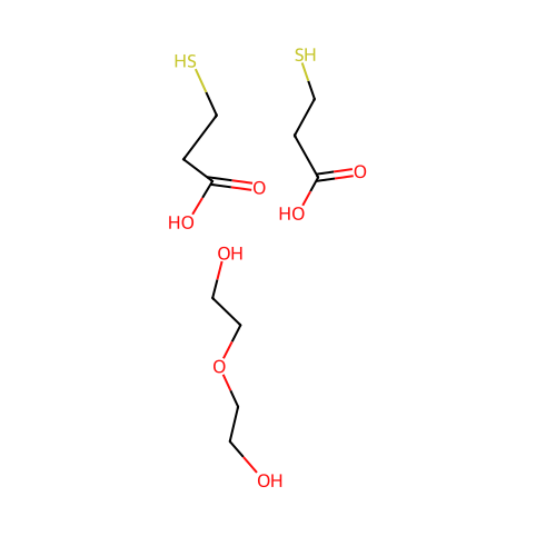 O=C(O)CCS.O=C(O)CCS.OCCOCCO